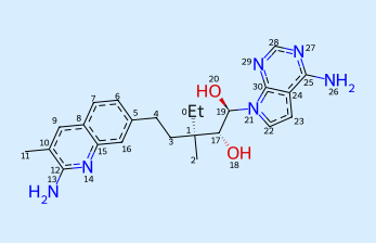 CC[C@](C)(CCc1ccc2cc(C)c(N)nc2c1)[C@@H](O)[C@@H](O)n1ccc2c(N)ncnc21